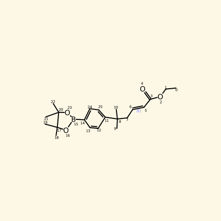 CCOC(=O)/C=C/CC(C)(C)c1ccc(B2OC(C)(C)C(C)(C)O2)cc1